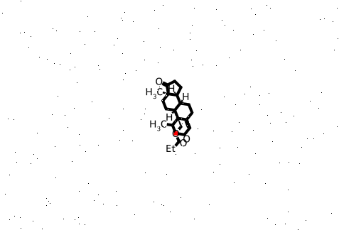 CCC(=O)OC[C@@]12C(=CC(=O)CC1C)CC[C@@H]1[C@H]2CC[C@]2(C)C(=O)CC[C@@H]12